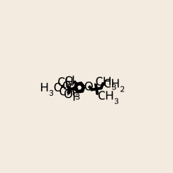 C=CCC(CC)(CC)COc1cc(F)c(C(=O)OC(C)(C)C)c(Cl)c1